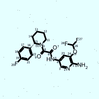 Nc1ncc(NC(=O)C(=O)N2CCCC[C@H]2c2ccc(F)cc2)cc1OC(F)F